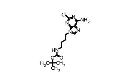 CC(C)(C)OC(=O)NCCCCn1cnc2c(N)nc(Cl)nc21